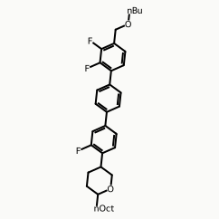 CCCCCCCCC1CCC(c2ccc(-c3ccc(-c4ccc(COCCCC)c(F)c4F)cc3)cc2F)CO1